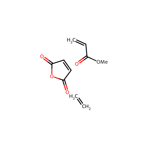 C=C.C=CC(=O)OC.O=C1C=CC(=O)O1